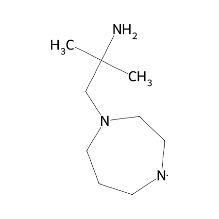 CC(C)(N)CN1CCC[N]CC1